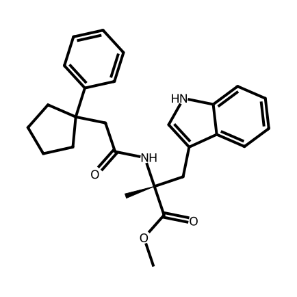 COC(=O)[C@@](C)(Cc1c[nH]c2ccccc12)NC(=O)CC1(c2ccccc2)CCCC1